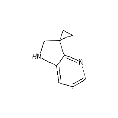 [c]1cnc2c(c1)NCC21CC1